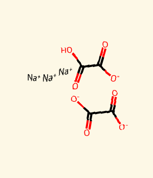 O=C([O-])C(=O)O.O=C([O-])C(=O)[O-].[Na+].[Na+].[Na+]